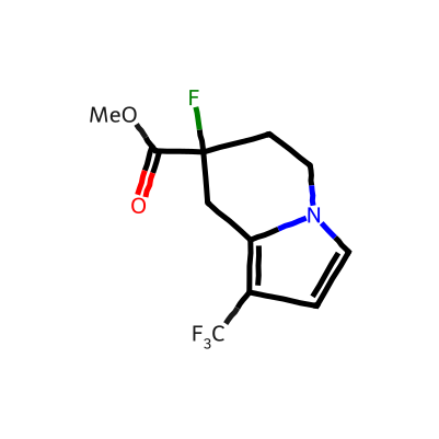 COC(=O)C1(F)CCn2ccc(C(F)(F)F)c2C1